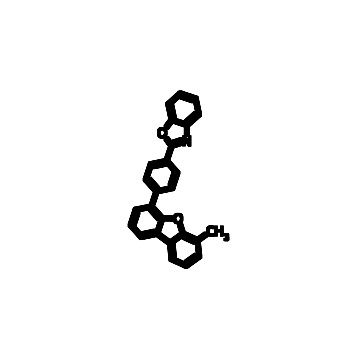 Cc1cccc2c1oc1c(-c3ccc(-c4nc5ccccc5o4)cc3)cccc12